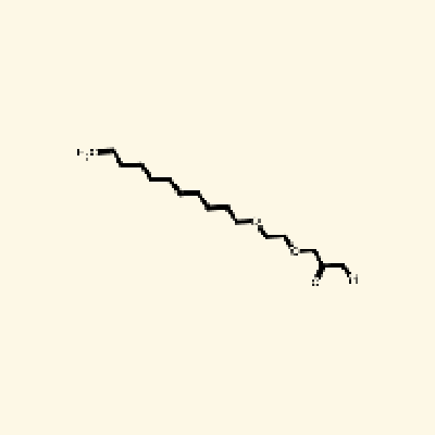 C=CCCCCCCCCCOCCOCC(=O)CCl